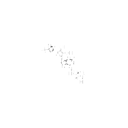 CC(C)NS(=O)(=O)CCNc1nc(Cl)nc2c1ncn2[C@@H]1O[C@H](c2cc(C(C)(C)C)no2)[C@@H](O)[C@H]1O